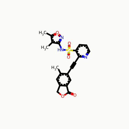 Cc1cc2c(cc1C#Cc1ncccc1S(=O)(=O)Nc1noc(C)c1C)C(=O)OC2